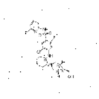 O=S(=O)(Nc1cccc(F)n1)c1cc(Cl)c(N[C@H]2CCCC[C@@H]2N2C[C@@H]3[C@@H](CO)[C@@H]3C2)cc1F